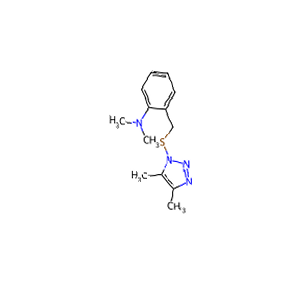 Cc1nnn(SCc2ccccc2N(C)C)c1C